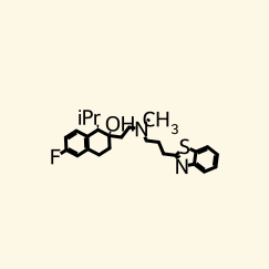 CC(C)[C@H]1c2ccc(F)cc2CC[C@]1(O)CCN(C)CCCc1nc2ccccc2s1